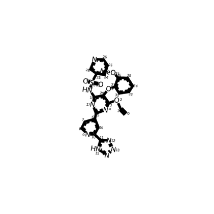 C#COc1nc(-c2ccnc(-c3nnn[nH]3)c2)nc(NS(=O)(=O)c2cccnc2)c1Oc1ccccc1OC